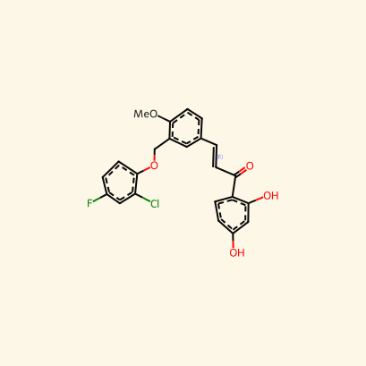 COc1ccc(/C=C/C(=O)c2ccc(O)cc2O)cc1COc1ccc(F)cc1Cl